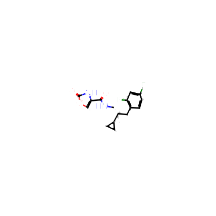 O=C(NC[C@H](Cc1ccc(F)cc1F)C1CC1)c1coc(=O)[nH]1